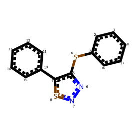 c1ccc(Sc2nnsc2-c2ccccc2)cc1